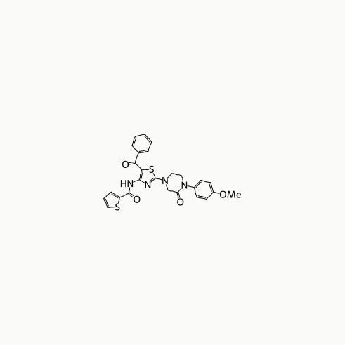 COc1ccc(N2CCN(c3nc(NC(=O)c4cccs4)c(C(=O)c4ccccc4)s3)CC2=O)cc1